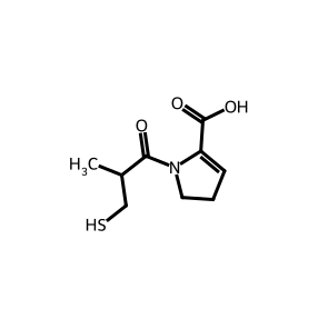 CC(CS)C(=O)N1CCC=C1C(=O)O